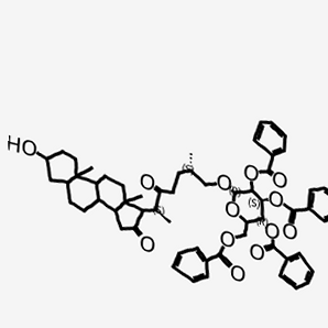 C[C@@H](CCC(=O)[C@@H](C)C1C(=O)CC2C3CCC4CC(O)CCC4(C)C3CCC21C)CO[C@@H]1OC(COC(=O)c2ccccc2)[C@@H](OC(=O)c2ccccc2)[C@H](OC(=O)c2ccccc2)C1OC(=O)c1ccccc1